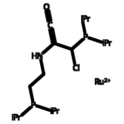 CC(C)P(CCNC(=C=O)C(Cl)P(C(C)C)C(C)C)C(C)C.[Ru+2]